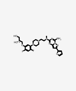 CN(CCN1CCN(c2cc(OC[C@H](O)CO)c(F)cc2F)CC1)c1nc(N)n2nc(-c3ccco3)cc2n1